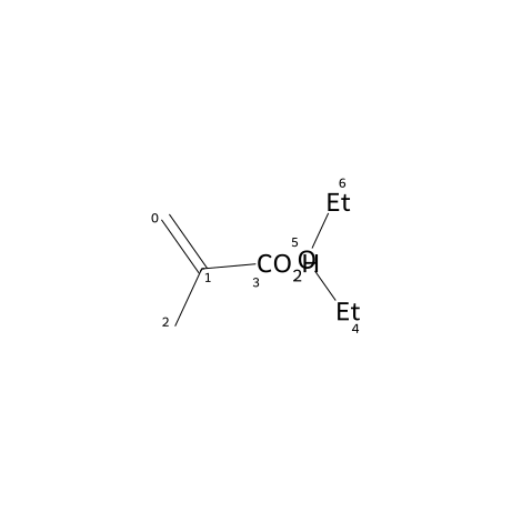 C=C(C)C(=O)O.CCOCC